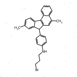 Cc1ccc2c(c1)C(c1ccc(NCCCBr)cc1)c1cc(C)c3ccccc3c1-2